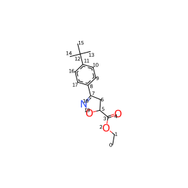 CCOC(=O)C1CC(c2ccc(C(C)(C)C)cc2)=NO1